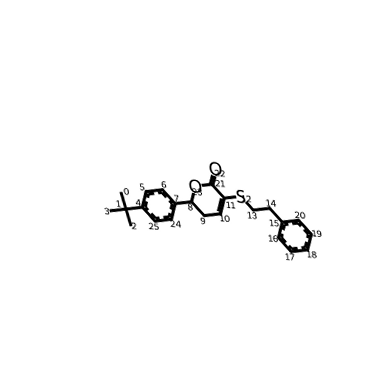 CC(C)(C)c1ccc(C2CC=C(SCCc3ccccc3)C(=O)O2)cc1